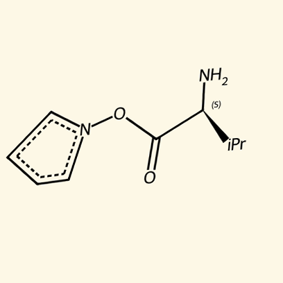 CC(C)[C@H](N)C(=O)On1cccc1